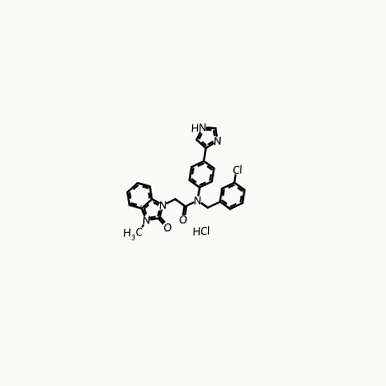 Cl.Cn1c(=O)n(CC(=O)N(Cc2cccc(Cl)c2)c2ccc(-c3c[nH]cn3)cc2)c2ccccc21